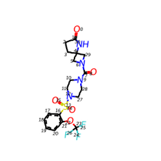 O=C1CCC2(CN(C(=O)N3CCN(S(=O)(=O)c4ccccc4OC(F)(F)F)CC3)C2)N1